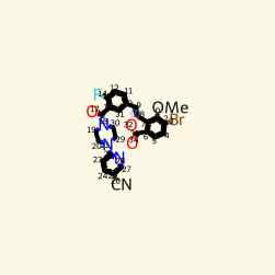 COc1c(Br)ccc2c1/C(=C/c1ccc(F)c(C(=O)N3CCN(c4ccc(C#N)cn4)CC3)c1)OC2=O